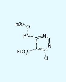 CCCCONc1ncnc(Cl)c1C(=O)OCC